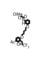 COC(=O)C(=O)Nc1cccc(OCCCCCOc2ccc(C(C)=O)c(O)c2CCC(F)(F)F)c1